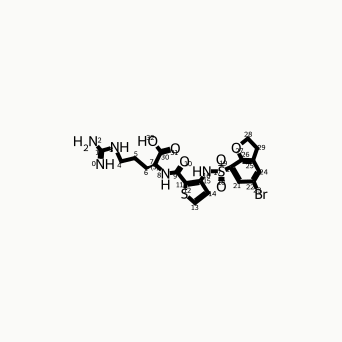 N=C(N)NCCC[C@H](NC(=O)c1sccc1NS(=O)(=O)c1cc(Br)cc2c1OCC2)C(=O)O